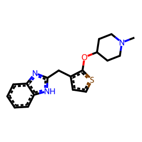 CN1CCC(Oc2sccc2Cc2nc3ccccc3[nH]2)CC1